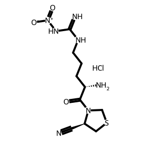 Cl.N#C[C@@H]1CSCN1C(=O)[C@@H](N)CCCNC(=N)N[N+](=O)[O-]